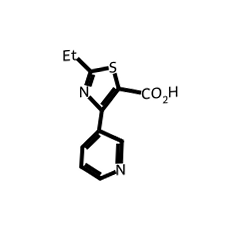 CCc1nc(-c2cccnc2)c(C(=O)O)s1